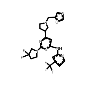 FC1(F)CCN(c2nc(Nc3cc(C(F)(F)F)ccn3)cc(C3CCN(Cc4cnco4)C3)n2)C1